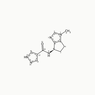 Cn1cnc2c1CC[C@H]2NC(=O)c1cn[nH]c1